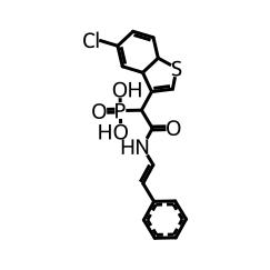 O=C(N/C=C/c1ccccc1)C(C1=CSC2C=CC(Cl)=CC12)P(=O)(O)O